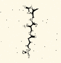 Cc1oc(=O)oc1COC(=O)C(N)COC(=O)CCCO[N+](=O)[O-]